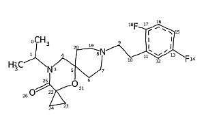 CC(C)N1CC2(CCN(CCc3cc(F)ccc3F)CC2)OC2(CC2)C1=O